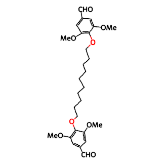 COc1cc(C=O)cc(OC)c1OCCCCCCCCCCOc1c(OC)cc(C=O)cc1OC